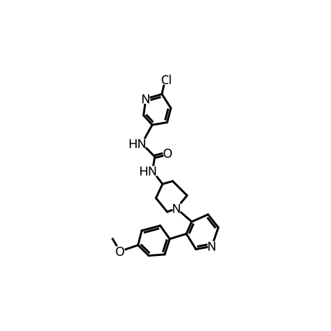 COc1ccc(-c2cnccc2N2CCC(NC(=O)Nc3ccc(Cl)nc3)CC2)cc1